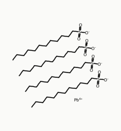 CCCCCCCCCCCCS(=O)(=O)[O-].CCCCCCCCCCCCS(=O)(=O)[O-].CCCCCCCCCCCCS(=O)(=O)[O-].CCCCCCCCCCCCS(=O)(=O)[O-].[Pb+4]